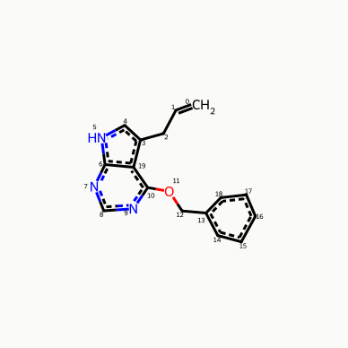 C=CCc1c[nH]c2ncnc(OCc3ccccc3)c12